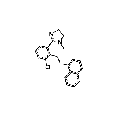 CN1CCN=C1c1cccc(Cl)c1CCc1cccc2ccccc12